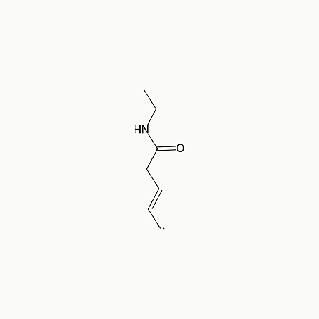 [CH2]C=CCC(=O)NCC